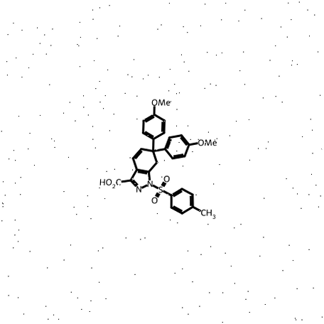 COc1ccc(C2(c3ccc(OC)cc3)C=Cc3c(C(=O)O)nn(S(=O)(=O)c4ccc(C)cc4)c3C2)cc1